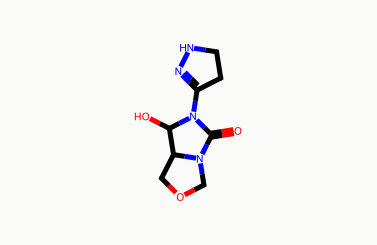 O=C1N2COCC2C(O)N1C1=NNCC1